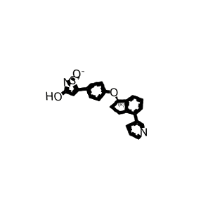 [O-][s+]1nc(O)cc1-c1ccc(O[C@@H]2CCc3c(-c4cccnc4)cccc32)cc1